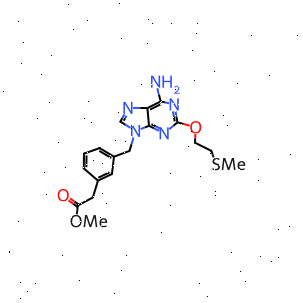 COC(=O)Cc1cccc(Cn2cnc3c(N)nc(OCCSC)nc32)c1